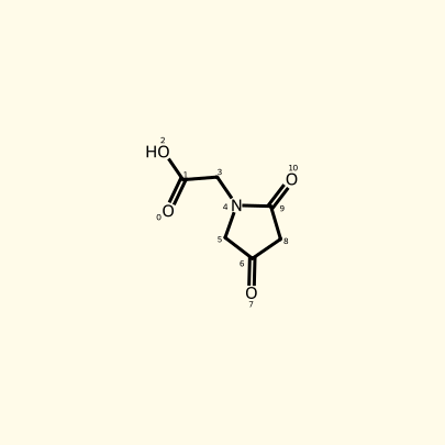 O=C(O)CN1CC(=O)CC1=O